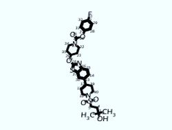 CC(C)(O)CCS(=O)(=O)N1CC=C(c2ccc3nc(OC4CCN(C(=O)Oc5ccc(F)cc5)CC4)sc3c2)CC1